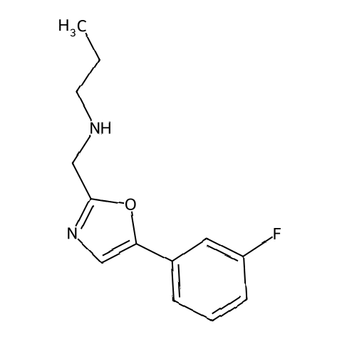 CCCNCc1ncc(-c2cccc(F)c2)o1